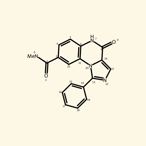 CNC(=O)c1ccc2[nH]c(=O)c3cnc(-c4ccccc4)n3c2c1